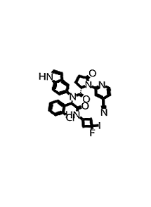 N#Cc1ccnc(N2C(=O)CC[C@H]2C(=O)N(c2ccc3[nH]ccc3c2)[C@H](C(=O)NC2CC(F)(I)C2)c2ccccc2Cl)c1